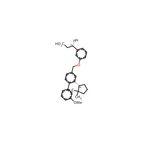 CCC[C@@H](CC(=O)O)c1cccc(OCc2ccc(-c3cccc(OC)c3)c([C@@H]3CCCC3(C)C)c2)c1